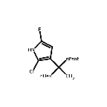 CCCCCCC(C)(CCCCC)c1cc(F)[nH]c1Cl